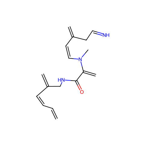 C=C/C=C\C(=C)CNC(=O)C(=C)N(C)/C=C\C(=C)CC=N